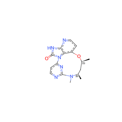 C[C@@H]1C[C@H](C)Oc2ccnc3[nH]c(=O)n(c23)-c2ccnc(n2)N1C